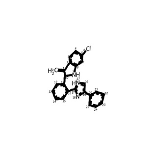 C=C1c2ccc(Cl)cc2NC1c1ccccc1-c1nc(-c2ccccc2)c[nH]1